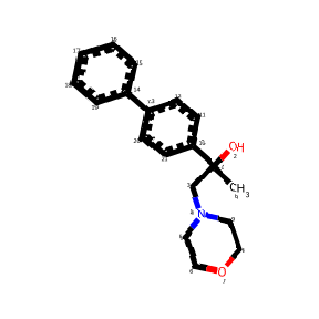 CC(O)(CN1CCOCC1)c1ccc(-c2ccccc2)cc1